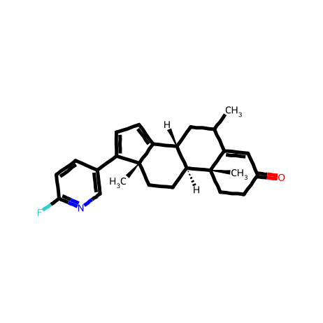 CC1C[C@H]2C3=CC=C(c4ccc(F)nc4)[C@@]3(C)CC[C@@H]2[C@@]2(C)CCC(=O)C=C12